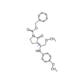 COC/C(Nc1ccc(OC)cc1)=C1/CCN(C(=O)OCc2ccccc2)C1=O